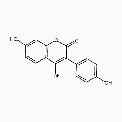 CCCc1c(-c2ccc(O)cc2)c(=O)oc2cc(O)ccc12